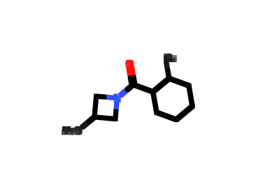 CCC(C)C1CCCCC1C(=O)N1CC(OC)C1